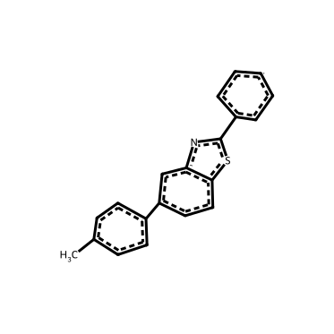 Cc1ccc(-c2ccc3sc(-c4cc[c]cc4)nc3c2)cc1